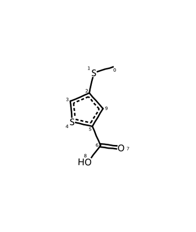 CSc1csc(C(=O)O)c1